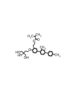 C=C(C)C(=O)OCCc1cc(-c2ccc(-c3ccc(C)cc3)cc2C)ccc1OCCC(CO)(CO)CCC